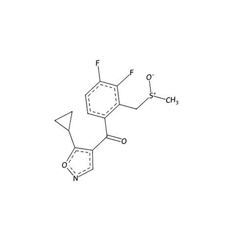 C[S+]([O-])Cc1c(C(=O)c2cnoc2C2CC2)ccc(F)c1F